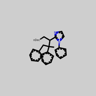 CCCCCCCCCCCC(c1nccn1-c1ccccc1)C(C)(Cc1ccccc1)c1ccccc1